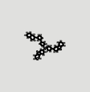 c1cc(-c2ccc(N(c3ccc(-c4ccc5sc6ccccc6c5c4)cc3)c3ccc4c(c3)sc3ccccc34)cc2)cc(-c2ccc3ccccc3c2)c1